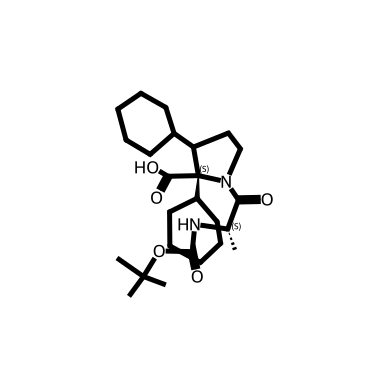 C[C@H](NC(=O)OC(C)(C)C)C(=O)N1CCC(C2CCCCC2)[C@]1(C(=O)O)C1CCCCC1